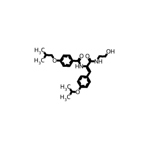 CC(C)COc1ccc(C(=O)N/C(=C\c2ccc(OC(C)C)cc2)C(=O)NCCO)cc1